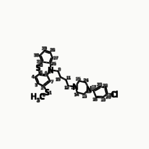 CSc1ccc2c(c1)N(CCCCN1CCN(c3ccc(Cl)cc3)CC1)c1ccccc1S2